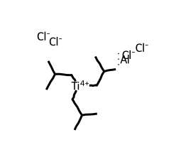 CC(C)[CH2][Ti+4]([CH2]C(C)C)[CH2]C(C)C.[Al].[Cl-].[Cl-].[Cl-].[Cl-]